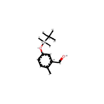 Cc1ccc(O[Si](C)(C)C(C)(C)C)cc1C=O